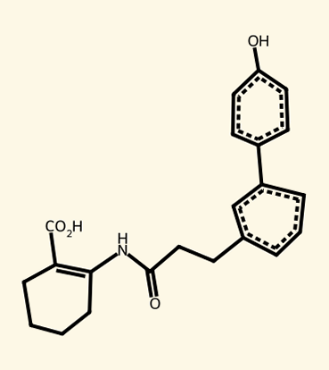 O=C(CCc1cccc(-c2ccc(O)cc2)c1)NC1=C(C(=O)O)CCCC1